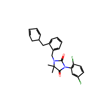 CC1(C)C(=O)N(c2cc(F)ccc2F)C(=O)N1Cc1ccccc1CC1C=CC=CC1